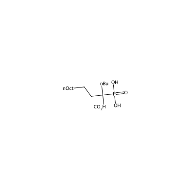 CCCCCCCCCCC(CCCC)(C(=O)O)P(=O)(O)O